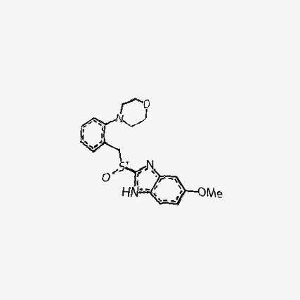 COc1ccc2[nH]c([S+]([O-])Cc3ccccc3N3CCOCC3)nc2c1